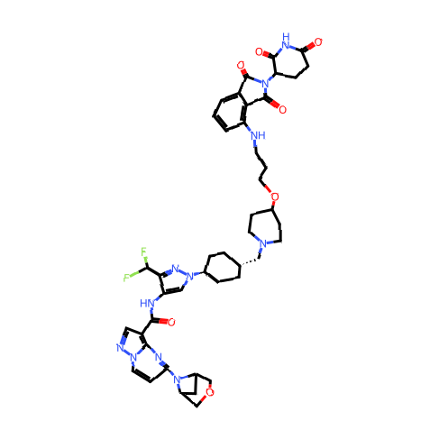 O=C1CCC(N2C(=O)c3cccc(NCCCOC4CCN(C[C@H]5CC[C@H](n6cc(NC(=O)c7cnn8ccc(N9C%10COCC9C%10)nc78)c(C(F)F)n6)CC5)CC4)c3C2=O)C(=O)N1